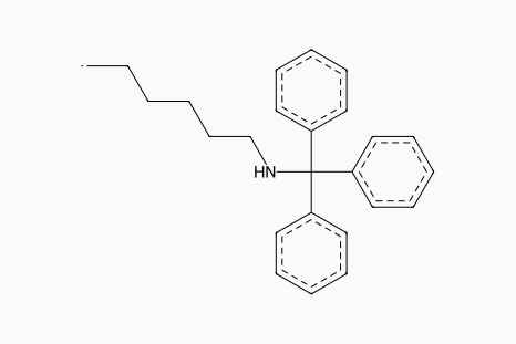 [CH2]CCCCCNC(c1ccccc1)(c1ccccc1)c1ccccc1